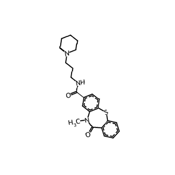 CN1C(=O)c2ccccc2Sc2ccc(C(=O)NCCCN3CCCCC3)cc21